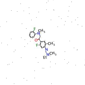 CCN(C)C=Nc1cc(F)c(C(=O)CN(C)c2ccccc2F)cc1C